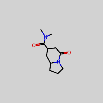 CN(C)C(=O)C1CC(=O)N2CCCC2C1